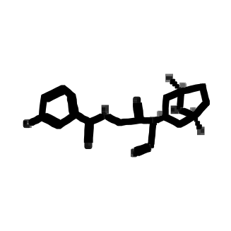 O=C(NCC(=O)N(P=S)[C@H]1C[C@H]2CC[C@@H](C1)N2)c1cccc(Cl)c1